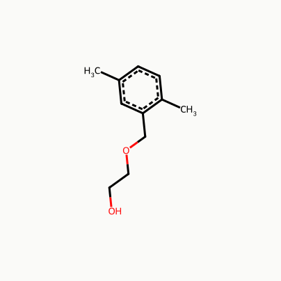 Cc1ccc(C)c(COCCO)c1